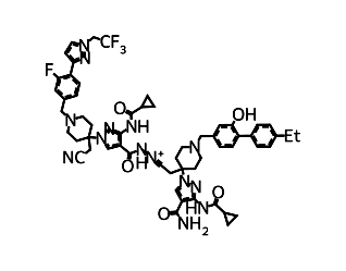 CCc1ccc(-c2ccc(CN3CCC(CC#[N+]NC(=O)c4cn(C5(CC#N)CCN(Cc6ccc(-c7ccn(CC(F)(F)F)n7)c(F)c6)CC5)nc4NC(=O)C4CC4)(n4cc(C(N)=O)c(NC(=O)C5CC5)n4)CC3)cc2O)cc1